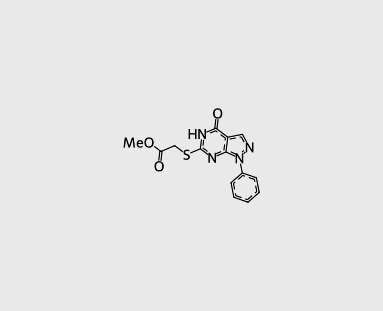 COC(=O)CSc1nc2c(cnn2-c2ccccc2)c(=O)[nH]1